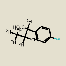 [2H]C([2H])([2H])C([2H])(C)C([2H])(C(=O)O)c1ccc(F)cc1